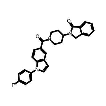 O=C(c1ccc2c(ccn2-c2ccc(F)cc2)c1)N1CCC(N2Cc3ccccc3C2=O)CC1